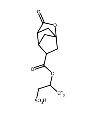 O=C(OC(CS(=O)(=O)O)C(F)(F)F)C1CC23CC(C(=O)O2)C1C3